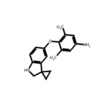 Cc1cc(N)cc(C)c1Oc1ccc2c(c1)C1(CC1)CN2